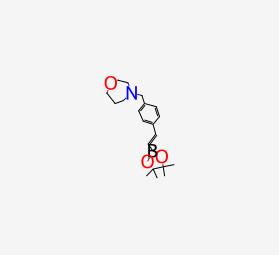 CC1(C)OB(C=Cc2ccc(CN3CCCOCC3)cc2)OC1(C)C